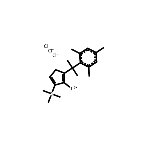 Cc1cc(C)c(C(C)(C)C2=[C]([Ti+3])C([Si](C)(C)C)=CC2)c(C)c1.[Cl-].[Cl-].[Cl-]